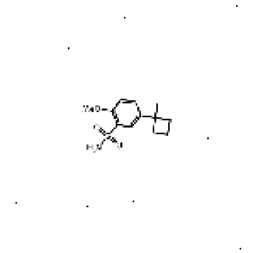 COc1ccc(C2(C)CCC2)cc1S(N)(=O)=O